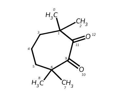 CC1(C)CCCC(C)(C)C(=O)C1=O